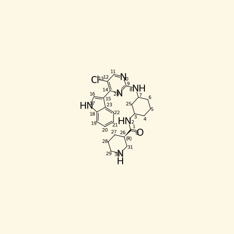 O=C(NC1CCCC(Nc2ncc(Cl)c(-c3c[nH]c4ccccc34)n2)C1)[C@@H]1CCCNC1